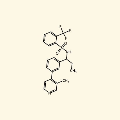 CCC(NS(=O)(=O)c1ccccc1C(F)(F)F)c1cccc(-c2ccncc2C)c1